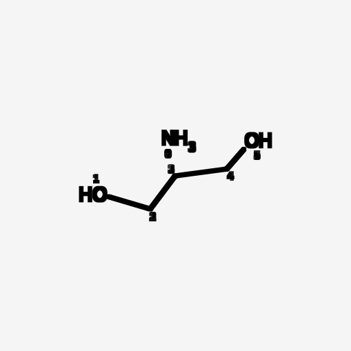 N.OCCCO